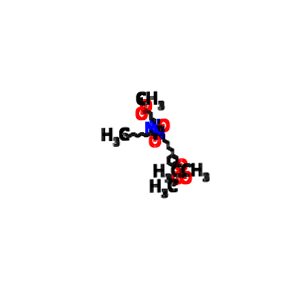 CCCCCCc1nn(CC=CC(=O)OCC)c(=O)n(CCCCCc2cccc(OC(C)(C)C(=O)OCC)c2)c1=O